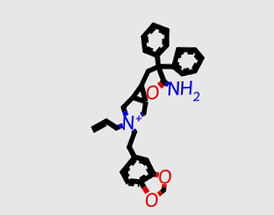 C=CC[N+]1(CCc2ccc3c(c2)OCO3)CC2C(CC(C(N)=O)(c3ccccc3)c3ccccc3)C2C1